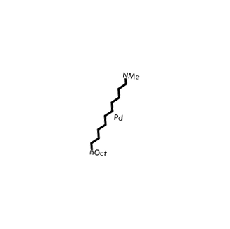 CCCCCCCCCCCCCCCCCCNC.[Pd]